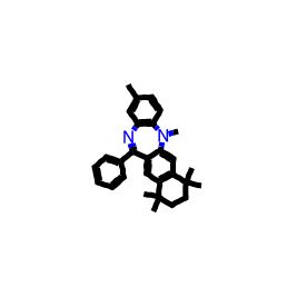 Cc1ccc2c(c1)N=C(c1ccccc1)c1cc3c(cc1N2C)C(C)(C)CCC3(C)C